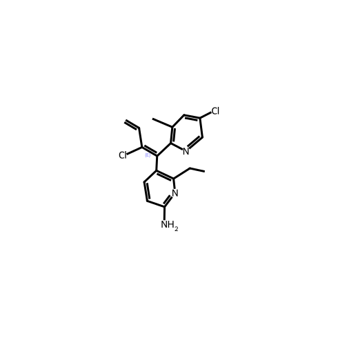 C=C/C(Cl)=C(/c1ccc(N)nc1CC)c1ncc(Cl)cc1C